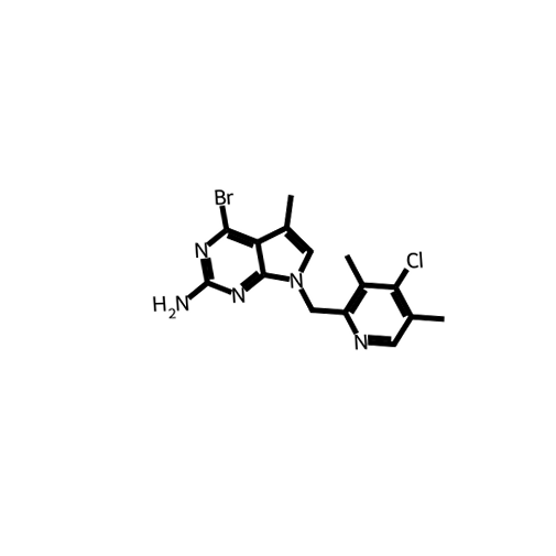 Cc1cnc(Cn2cc(C)c3c(Br)nc(N)nc32)c(C)c1Cl